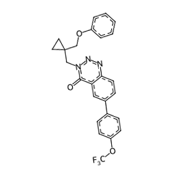 O=c1c2cc(-c3ccc(OC(F)(F)F)cc3)ccc2nnn1CC1(COc2ccccc2)CC1